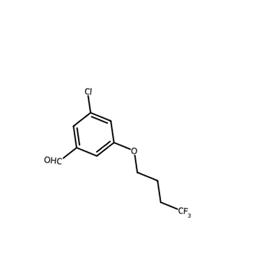 O=Cc1cc(Cl)cc(OCCCC(F)(F)F)c1